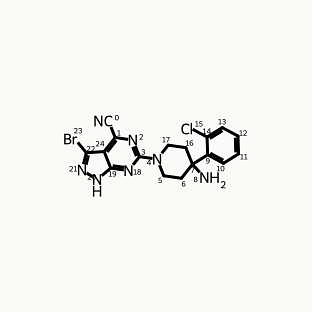 N#Cc1nc(N2CCC(N)(c3ccccc3Cl)CC2)nc2[nH]nc(Br)c12